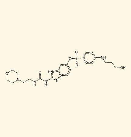 O=C(NCCN1CCOCC1)Nc1nc2ccc(OS(=O)(=O)c3ccc(NCCCO)cc3)cc2[nH]1